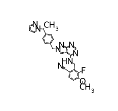 COc1ccc(C#N)c(CNc2ncnc3nn(Cc4ccc(C(C)n5cccn5)cc4)cc23)c1F